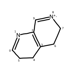 C1=NC2=C(CC1)CC[N+]=C2